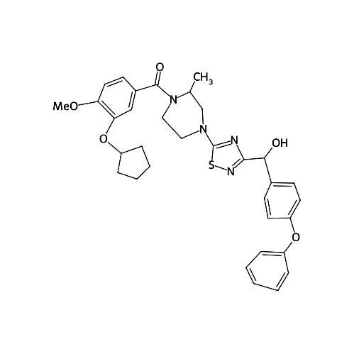 COc1ccc(C(=O)N2CCN(c3nc(C(O)c4ccc(Oc5ccccc5)cc4)ns3)CC2C)cc1OC1CCCC1